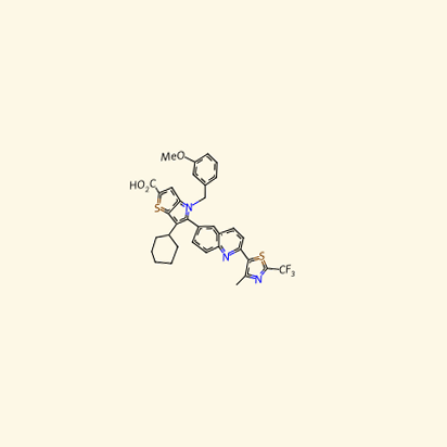 COc1cccc(Cn2c(-c3ccc4nc(-c5sc(C(F)(F)F)nc5C)ccc4c3)c(C3CCCCC3)c3sc(C(=O)O)cc32)c1